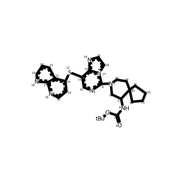 CC(C)(C)OC(=O)NC1CN(c2ncc(Sc3ccnc4ncccc34)c3nccn23)CCC12CCCC2